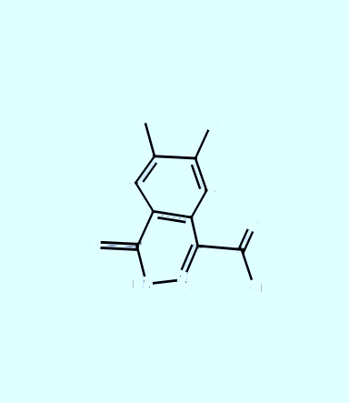 O=C(O)c1n[nH]c(=O)c2cc(Cl)c(Cl)cc12